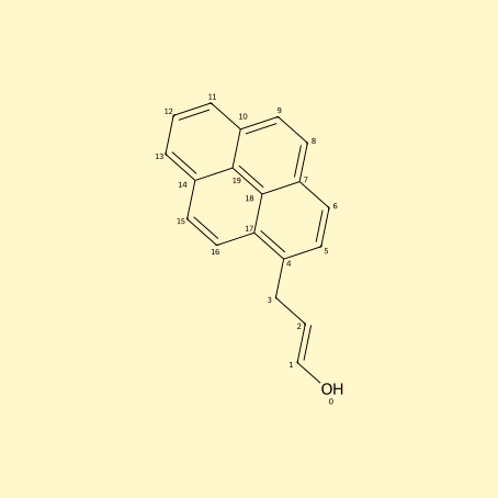 OC=CCc1ccc2ccc3cccc4ccc1c2c34